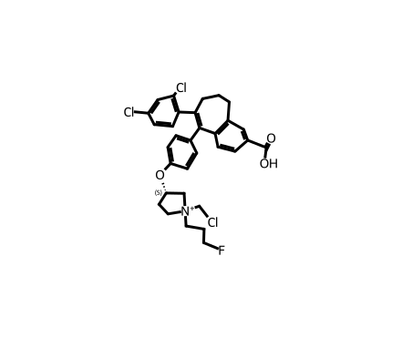 O=C(O)c1ccc2c(c1)CCCC(c1ccc(Cl)cc1Cl)=C2c1ccc(O[C@H]2CC[N+](CCl)(CCCF)C2)cc1